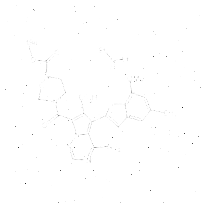 CCNCC.COc1cc(C)cc2cc(-c3c(C(=O)O)c(C(=O)N4CCN(C(=O)OC(C)(C)C)CC4)n4ncnc(N)c34)sc12